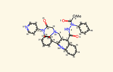 COC(=O)N(NC(=O)c1c(CN2CCN(c3ccncc3)C(=O)C2)c(-c2ccccc2)nc2ccccc12)c1ccccc1